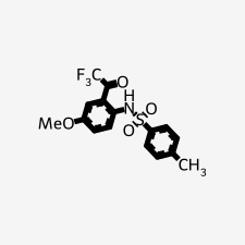 COc1ccc(NS(=O)(=O)c2ccc(C)cc2)c(C(=O)C(F)(F)F)c1